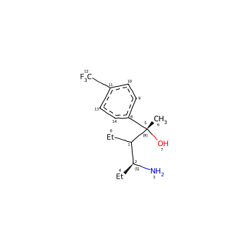 CCC([C@@H](N)CC)[C@@](C)(O)c1ccc(C(F)(F)F)cc1